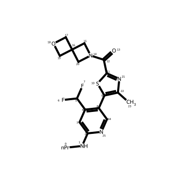 CCCNc1cc(C(F)F)c(-c2sc(C(=O)N3CC4(COC4)C3)nc2C)cn1